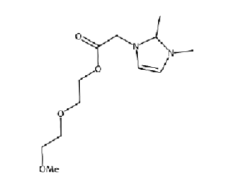 COCCOCCOC(=O)CN1C=CN(C)C1C